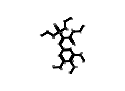 CCOC(=O)/C(=C\c1cc(OC)c(OC)c(OC)c1)P(=O)(OCC)OCC